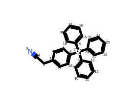 N#CCc1ccc([Si](c2ccccc2)(c2ccccc2)c2ccccc2)cc1